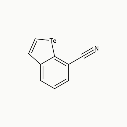 N#Cc1cccc2cc[te]c12